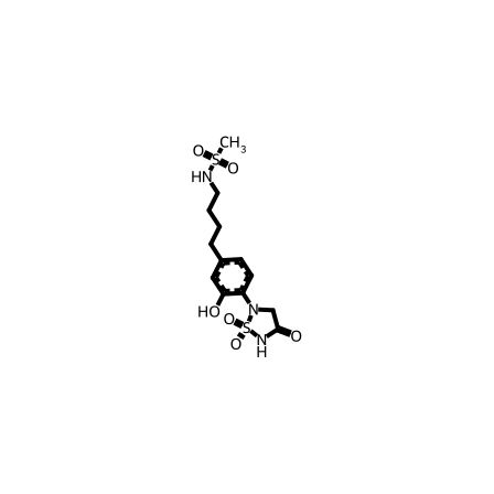 CS(=O)(=O)NCCCCc1ccc(N2CC(=O)NS2(=O)=O)c(O)c1